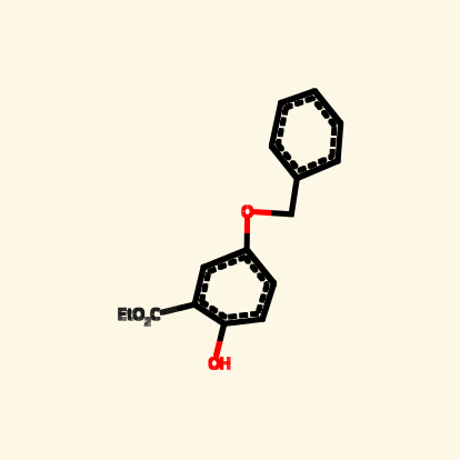 CCOC(=O)c1cc(OCc2ccccc2)ccc1O